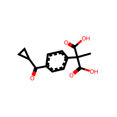 CC(C(=O)O)(C(=O)O)c1ccc(C(=O)C2CC2)cc1